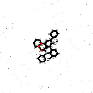 COc1c(-c2ccccc2)cc(-c2ccccc2)c(OC)c1-c1cccc(Cl)c1P(C1CCCCC1)C1CCCCC1